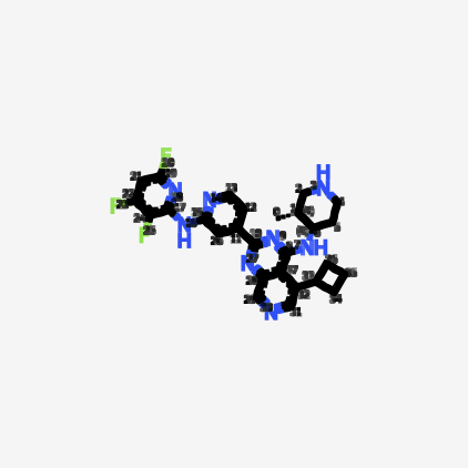 C[C@@H]1CNCC[C@H]1Nc1nc(-c2ccnc(Nc3nc(F)cc(F)c3F)c2)nc2cncc(C3CCC3)c12